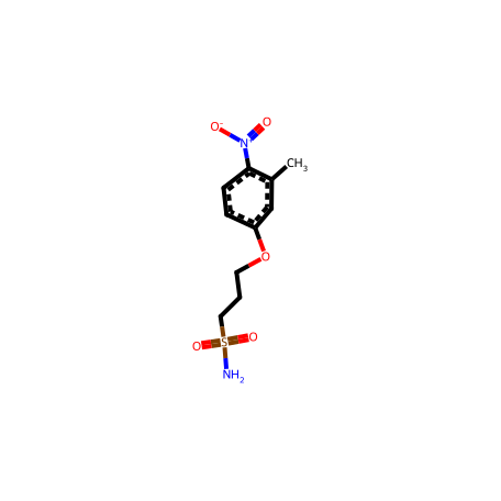 Cc1cc(OCCCS(N)(=O)=O)ccc1[N+](=O)[O-]